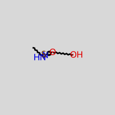 CCCCCCCC1NCN(c2ccc(OCCCCCCCCCCCO)cc2)S1